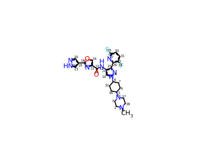 CN1CCN(C2CCC(n3cc(NC(=O)c4coc(-c5cn[nH]c5)n4)c(-c4nc(F)ccc4F)n3)CC2)CC1